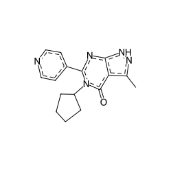 Cc1n[nH]c2nc(-c3ccncc3)n(C3CCCC3)c(=O)c12